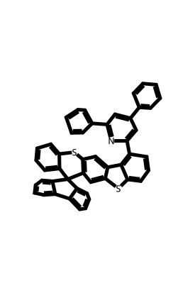 c1ccc(-c2cc(-c3ccccc3)nc(-c3cccc4sc5cc6c(cc5c34)Sc3ccccc3C63c4ccccc4-c4ccccc43)c2)cc1